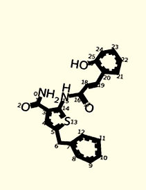 NC(=O)c1cc(Cc2ccccc2)sc1NC(=O)C=Cc1ccccc1O